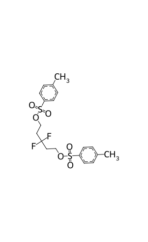 Cc1ccc(S(=O)(=O)OCCC(F)(F)CCOS(=O)(=O)c2ccc(C)cc2)cc1